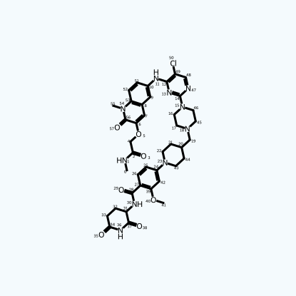 CNC(=O)COc1cc2cc(Nc3nc(N4CCN(CC5CCN(c6ccc(C(=O)NC7CCC(=O)NC7=O)c(OC)c6)CC5)CC4)ncc3Cl)ccc2n(C)c1=O